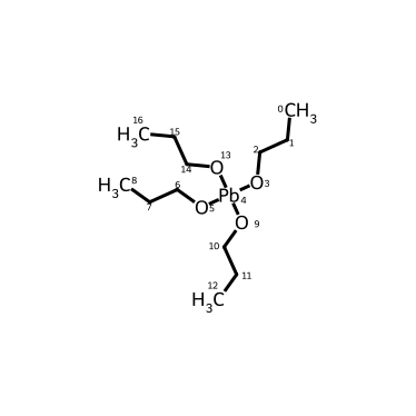 CCC[O][Pb]([O]CCC)([O]CCC)[O]CCC